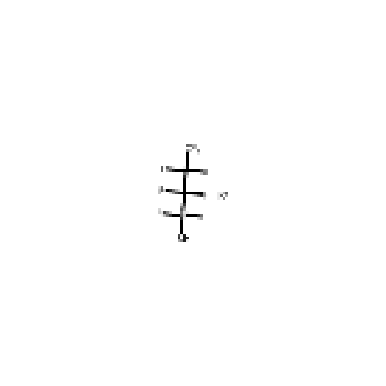 N#C[B-](F)(F)C(F)(F)C(F)(F)C(F)(F)F.[K+]